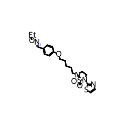 CCO/N=C/c1ccc(OCCCCCN2CCN(c3nccs3)S2(=O)=O)cc1